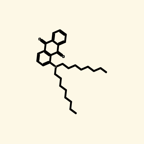 CCCCCCCCN(CCCCCCCC)c1cccc2c1C(=O)c1ccccc1C2=O